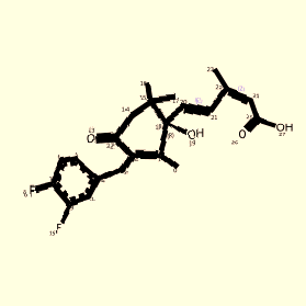 CC1=C(Cc2ccc(F)c(F)c2)C(=O)CC(C)(C)[C@]1(O)/C=C/C(C)=C\C(=O)O